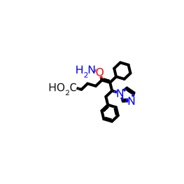 NOC(CCCC(=O)O)=C(C1CCCCC1)C(Cc1ccccc1)n1ccnc1